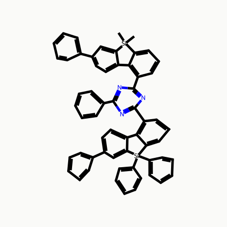 C[Si]1(C)c2cc(-c3ccccc3)ccc2-c2c(-c3nc(-c4ccccc4)nc(-c4cccc5c4-c4ccc(-c6ccccc6)cc4[Si]5(c4ccccc4)c4ccccc4)n3)cccc21